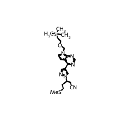 CSCCC(CC#N)n1cc(-c2ncnc3c2ccn3COCC[Si](C)(C)C)cn1